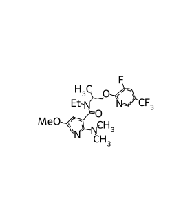 CCN(C(=O)c1cc(OC)cnc1N(C)C)C(C)COc1ncc(C(F)(F)F)cc1F